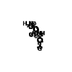 NS(=O)(=O)c1ccc(NCC2(F)CCN(C3COC3)CC2)c([N+](=O)[O-])c1